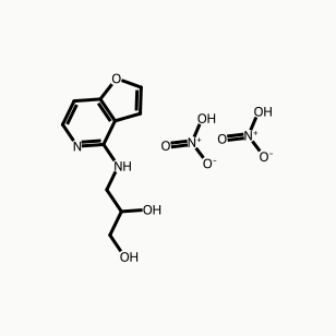 O=[N+]([O-])O.O=[N+]([O-])O.OCC(O)CNc1nccc2occc12